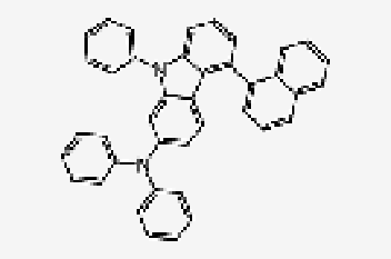 c1ccc(N(c2ccccc2)c2ccc3c4c(-c5cccc6ccccc56)cccc4n(-c4ccccc4)c3c2)cc1